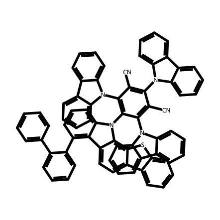 N#Cc1c(-n2c3ccccc3c3ccccc32)c(C#N)c(-n2c3ccccc3c3ccccc32)c(-n2c3cccc(-c4ccccc4-c4ccccc4)c3c3ccc4c5ccccc5sc4c32)c1-n1c2ccccc2c2ccccc21